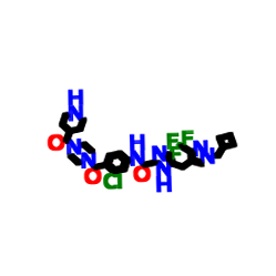 O=C(Nc1ccc(C(=O)N2CCN(C(=O)C3CCNCC3)CC2)c(Cl)c1)c1ncc(Cc2cn(CC3CCC3)nc2C(F)(F)F)[nH]1